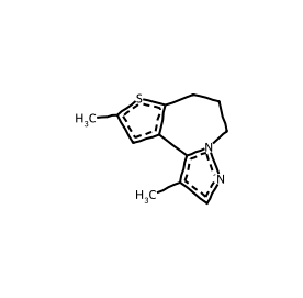 Cc1cc2c(s1)CCCn1ncc(C)c1-2